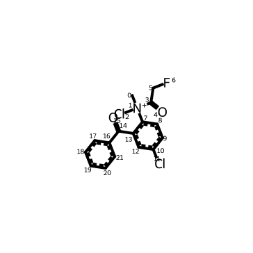 C[N+](Cl)(C(=O)CF)c1ccc(Cl)cc1C(=O)c1ccccc1